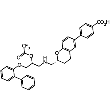 O=C(O)c1ccc(-c2ccc3c(c2)CC[C@H](CNCC(COc2ccccc2-c2ccccc2)OC(=O)C(F)(F)F)O3)cc1